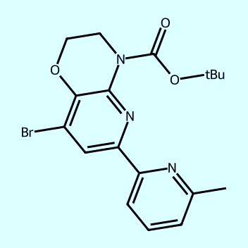 Cc1cccc(-c2cc(Br)c3c(n2)N(C(=O)OC(C)(C)C)CCO3)n1